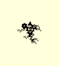 COc1ccccc1C(O)Cn1cc(/C(C)=N/OC(C)C)c(=O)n(C[C@@H](NC(=O)C2CC2)C(C)C)c1=O